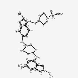 CNS(=O)(=O)N1CCN(CCn2c(C#N)cc3c(C)c(CN4CCC(Nc5nc(N)nc6sc(CC(F)(F)F)cc56)CC4)ccc32)CC1